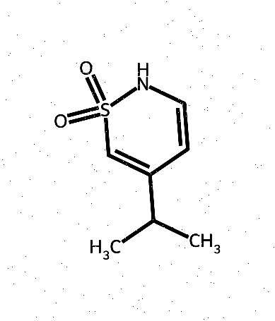 CC(C)C1=CS(=O)(=O)NC=C1